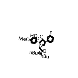 CCCCN(CCCC)C(=O)CN1C[C@H](c2cccc(F)c2)[C@H](C(=O)O)[C@H]1c1ccc(OC)cc1